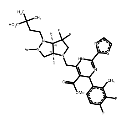 COC(=O)C1=C(CN2CC(F)(F)[C@H]3[C@@H]2CN(C(C)=O)N3CCC(C)(C)C(=O)O)NC(c2nccs2)=NC1c1ccc(F)c(F)c1C